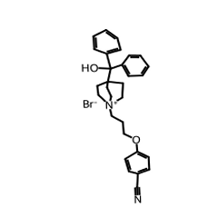 N#Cc1ccc(OCCC[N+]23CCC(C(O)(c4ccccc4)c4ccccc4)(CC2)CC3)cc1.[Br-]